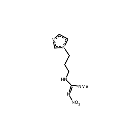 CN/C(=N\[N+](=O)[O-])NCCCn1ccnc1